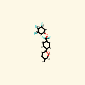 CC1CCC(C2CCC(C(F)(F)OC3CC(F)C(F)C(F)C3)CC2)OC1